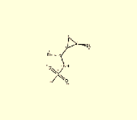 CC[C@@H]1CC1[C@@H](CC)NS(C)(=O)=O